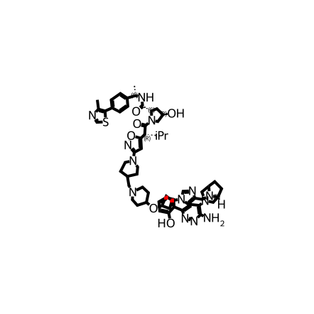 Cc1ncsc1-c1ccc([C@H](C)NC(=O)[C@@H]2C[C@@H](O)CN2C(=O)[C@@H](c2cc(N3CCC(CN4CCC(OC5CC(n6cnc(CN7C8CC[C@@H]7CN(c7cc(-c9ccccc9O)nnc7N)C8)c6)C5)CC4)CC3)no2)C(C)C)cc1